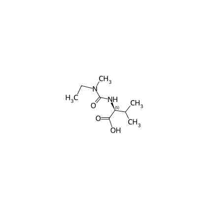 CCN(C)C(=O)N[C@H](C(=O)O)C(C)C